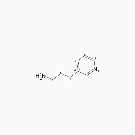 NC[CH]Cc1cccnc1